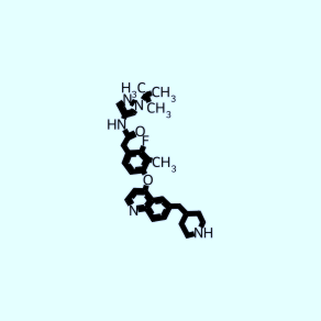 Cc1c(Oc2ccnc3ccc(CC4CCNCC4)cc23)ccc(CC(=O)Nc2cnn(C(C)(C)C)c2)c1F